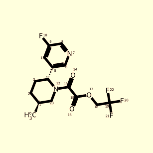 C[C@H]1CC[C@H](c2cncc(F)c2)N(C(=O)C(=O)OCC(F)(F)F)C1